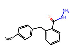 COc1ccc(Cc2ccccc2C(=O)NN)cc1